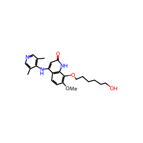 COc1ccc2c(Nc3c(C)cncc3C)cc(=O)[nH]c2c1OCCCCCCO